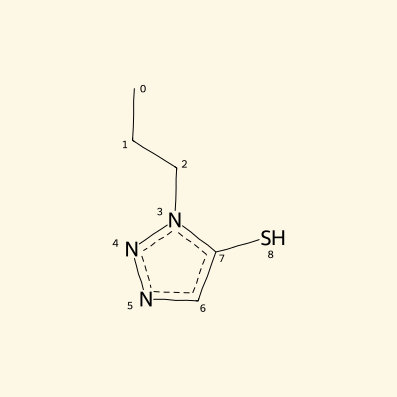 CCCn1nncc1S